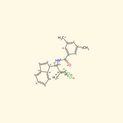 Cc1cc(C)cc(C(=O)[NH][Hf+2]([CH]2C=Cc3ccccc32)[SiH](C)C)c1.[Cl-].[Cl-]